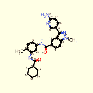 Cc1ccc(NC(=O)c2ccc3c(c2)c(-c2ccc(N)nc2)nn3C)cc1NC(=O)C1CCCCC1